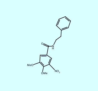 COc1cc(C(=O)NCCc2ccccc2)cc([N+](=O)[O-])c1OC